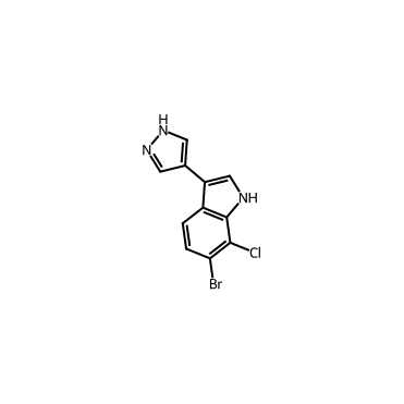 Clc1c(Br)ccc2c(-c3cn[nH]c3)c[nH]c12